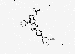 CCCC(CC)c1ccc(C(=O)Nc2nc(N3CCOCC3)c3ncn(CC(=O)O)c3n2)cc1